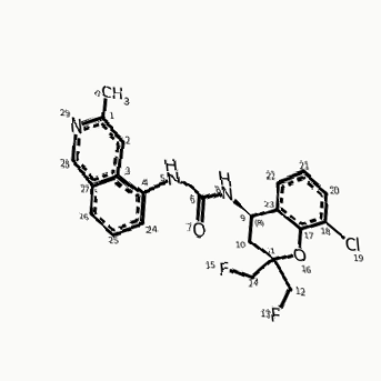 Cc1cc2c(NC(=O)N[C@@H]3CC(CF)(CF)Oc4c(Cl)cccc43)cccc2cn1